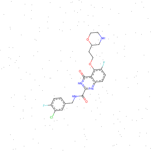 O=C(NCc1ccc(F)c(Cl)c1)c1nc2ccc(F)c(OCCC3CNCCO3)c2c(=O)[nH]1